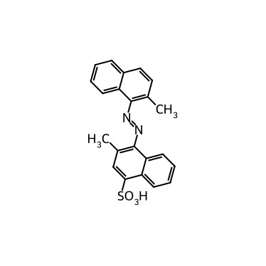 Cc1ccc2ccccc2c1/N=N/c1c(C)cc(S(=O)(=O)O)c2ccccc12